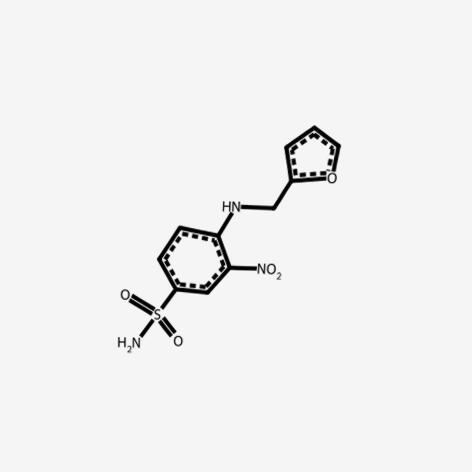 NS(=O)(=O)c1ccc(NCc2ccco2)c([N+](=O)[O-])c1